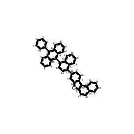 c1ccc(-c2c3ccccc3c(-c3ccc(-c4ccc5c(c4)oc4ccc6ccccc6c45)c4ccccc34)c3ccccc23)cc1